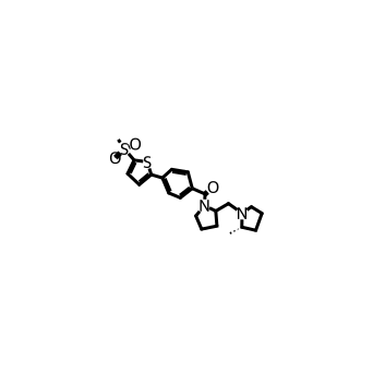 C[C@H]1CCCN1CC1CCCN1C(=O)c1ccc(-c2ccc(S(C)(=O)=O)s2)cc1